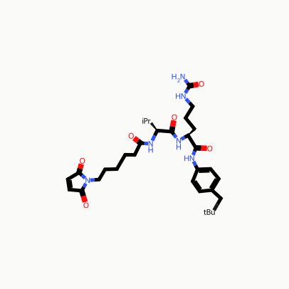 CC(C)[C@H](NC(=O)CCCCCN1C(=O)C=CC1=O)C(=O)N[C@@H](CCCNC(N)=O)C(=O)Nc1ccc(CC(C)(C)C)cc1